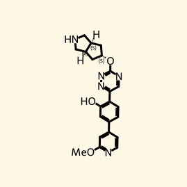 COc1cc(-c2ccc(-c3cnc(O[C@@H]4C[C@H]5CNC[C@H]5C4)nn3)c(O)c2)ccn1